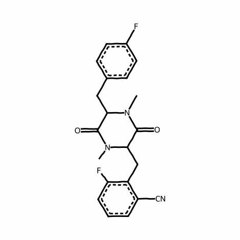 CN1C(=O)C(Cc2c(F)cccc2C#N)N(C)C(=O)C1Cc1ccc(F)cc1